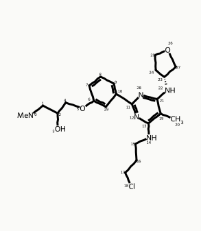 CNCC(O)COc1cccc(-c2nc(NCCCCl)c(C)c(N[C@@H]3CCOC3)n2)c1